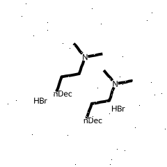 Br.Br.CCCCCCCCCCCCN(C)C.CCCCCCCCCCCCN(C)C